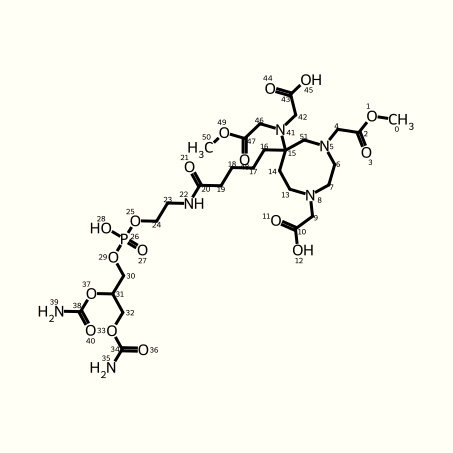 COC(=O)CN1CCN(CC(=O)O)CCC(CCCCC(=O)NCCOP(=O)(O)OCC(COC(N)=O)OC(N)=O)(N(CC(=O)O)CC(=O)OC)C1